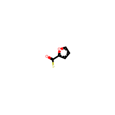 O=C([S])c1ccco1